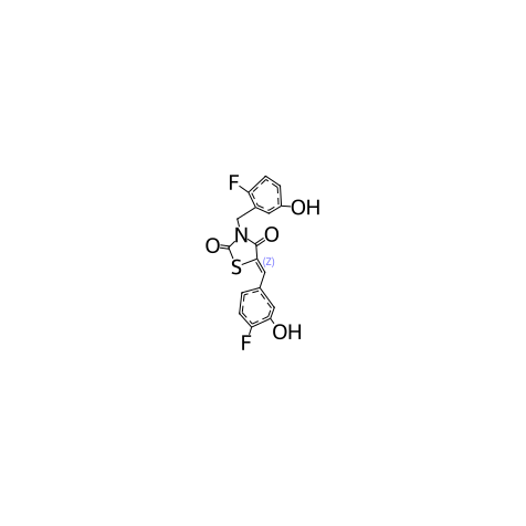 O=C1S/C(=C\c2ccc(F)c(O)c2)C(=O)N1Cc1cc(O)ccc1F